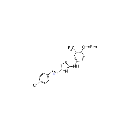 CCCCCOc1ccc(Nc2nc(/C=C/c3ccc(Cl)cc3)cs2)cc1C(F)(F)F